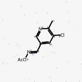 CC(=O)O/N=C/c1cnc(C)c(Cl)c1